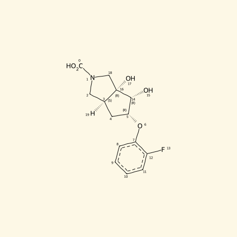 O=C(O)N1C[C@@H]2C[C@@H](Oc3ccccc3F)[C@@H](O)[C@]2(O)C1